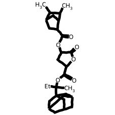 CCC(C)(OC(=O)C1CC(OC(=O)C2CC3CC2C(C)C3C)C(=O)O1)C12CC3CC(CC(C3)C1)C2